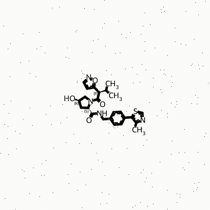 Cc1ncsc1-c1ccc(CNC(=O)[C@@H]2C[C@@H](O)CN2C(=O)[C@@H](c2ccno2)C(C)C)cc1